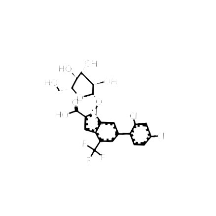 O=C(O)c1cc2c(C(F)(F)F)cc(-c3ccc(Cl)cc3Cl)cc2n1O[C@@H]1O[C@H](CO)[C@@H](O)[C@H](O)[C@H]1O